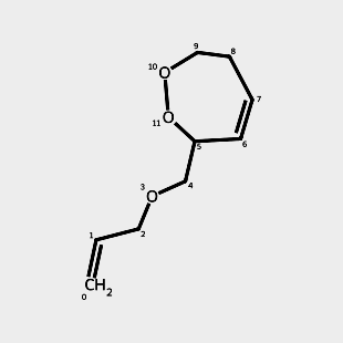 C=CCOCC1C=CCCOO1